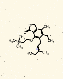 CCc1c(C)c2c(c(OCC[Si](C)(C)C)c1C/C=C(\C)CO)C(=O)OC2